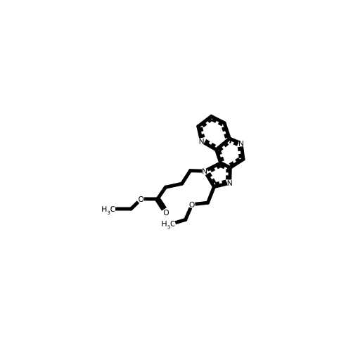 CCOCc1nc2cnc3cccnc3c2n1CCCC(=O)OCC